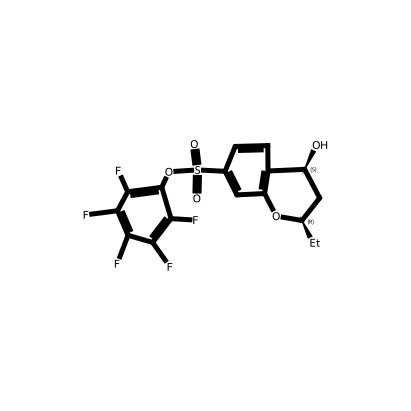 CC[C@@H]1C[C@H](O)c2ccc(S(=O)(=O)Oc3c(F)c(F)c(F)c(F)c3F)cc2O1